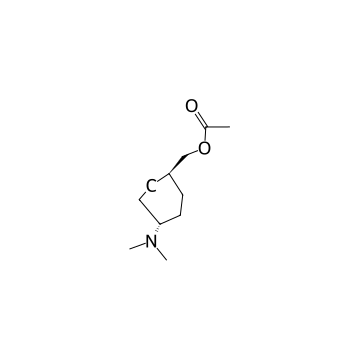 CC(=O)OC[C@H]1CC[C@H](N(C)C)CC1